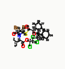 CC(C)=C(C(=O)OC(Cl)C(Cl)Cl)N1C(=O)C(Br)(Br)[C@H]1SC(=O)CO[Si](c1ccccc1)(c1ccccc1)C(C)(C)C